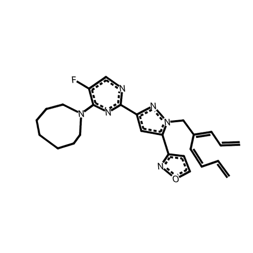 C=C/C=C\C(=C/C=C)Cn1nc(-c2ncc(F)c(N3CCCCCCC3)n2)cc1-c1ccon1